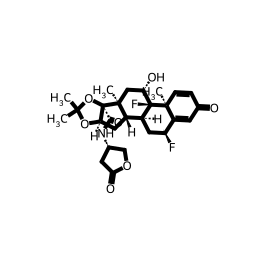 CC1(C)O[C@@H]2C[C@H]3[C@@H]4C[C@H](F)C5=CC(=O)C=C[C@]5(C)[C@@]4(F)[C@@H](O)C[C@]3(C)[C@]2(C(=O)N[C@@H]2COC(=O)C2)O1